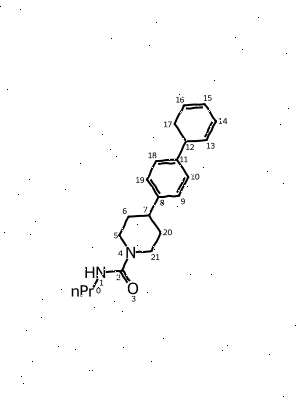 CCCNC(=O)N1CCC(c2ccc(C3C=CC=CC3)cc2)CC1